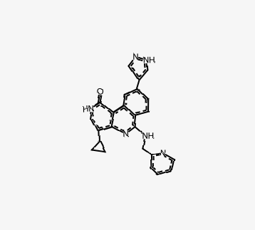 O=c1[nH]cc(C2CC2)c2nc(NCc3ccccn3)c3ccc(-c4cn[nH]c4)cc3c12